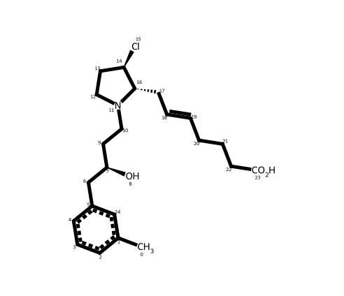 Cc1cccc(C[C@H](O)CCN2CC[C@@H](Cl)[C@@H]2CC=CCCCC(=O)O)c1